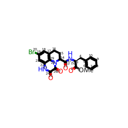 COC(=O)[C@H](Cc1ccccc1)NC(=O)C1CCc2cc(Br)cc3[nH]c(=O)c(=O)n1c23